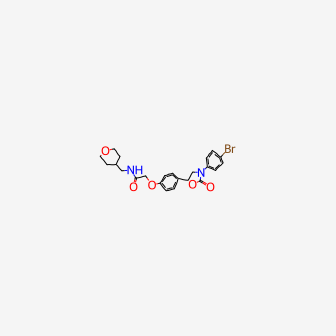 O=C(COc1ccc(C2CN(c3ccc(Br)cc3)C(=O)O2)cc1)NCC1CCOCC1